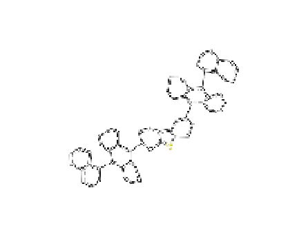 c1ccc2c(-c3c4ccccc4c(-c4ccc5c(c4)sc4ccc(-c6c7ccccc7c(-c7cccc8ccccc78)c7ccccc67)cc45)c4ccccc34)cccc2c1